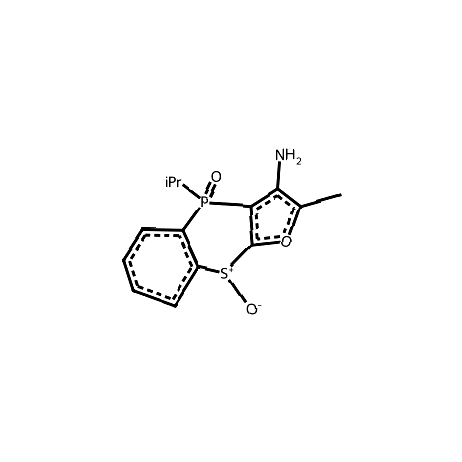 Cc1oc2c(c1N)P(=O)(C(C)C)c1ccccc1[S+]2[O-]